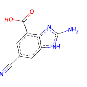 N#Cc1cc(C(=O)O)c2nc(N)[nH]c2c1